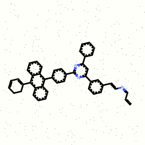 C=C/C=N\C=C\c1cccc(-c2cc(-c3ccccc3)nc(-c3ccc(-c4c5ccccc5c(C5=CC=CCC5)c5ccccc45)cc3)n2)c1